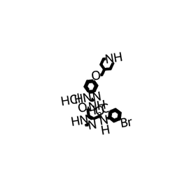 Cc1ccc(Br)cc1NC(=O)c1nc[nH]c1C(=O)Nc1nc2cc(OCC3CCNCC3)ccc2[nH]1.Cl